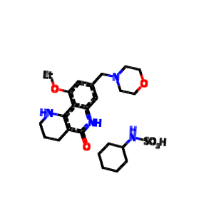 CCOc1cc(CN2CCOCC2)cc2[nH]c(=O)c3c(c12)NCCC3.O=S(=O)(O)NC1CCCCC1